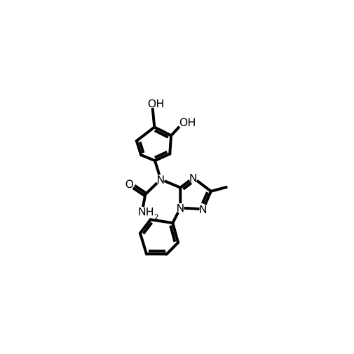 Cc1nc(N(C(N)=O)c2ccc(O)c(O)c2)n(-c2ccccc2)n1